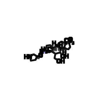 C[C@]12CC/C(=N/O[C@H]3CCNC3)CC1C(CO)C(O)[C@@H]1[C@H]2CC[C@]2(C)C(=O)CC[C@@H]12